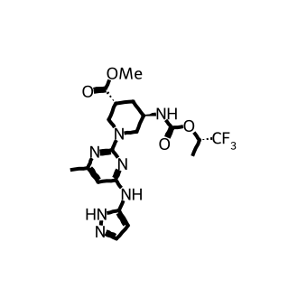 COC(=O)[C@@H]1C[C@@H](NC(=O)O[C@@H](C)C(F)(F)F)CN(c2nc(C)cc(Nc3ccn[nH]3)n2)C1